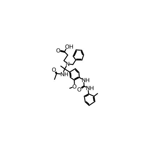 COc1cc(C(C)(NC(C)=O)N(CCC(=O)O)Cc2ccccc2)ccc1NC(=O)Nc1ccccc1C